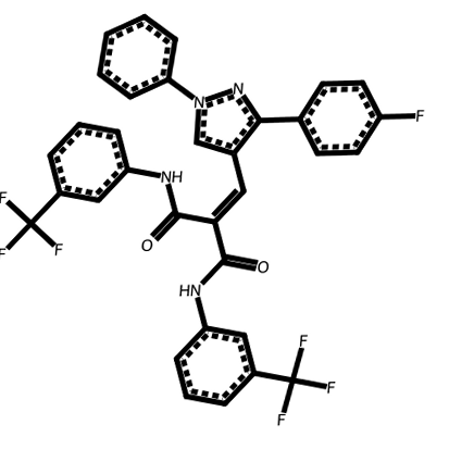 O=C(Nc1cccc(C(F)(F)F)c1)C(=Cc1cn(-c2ccccc2)nc1-c1ccc(F)cc1)C(=O)Nc1cccc(C(F)(F)F)c1